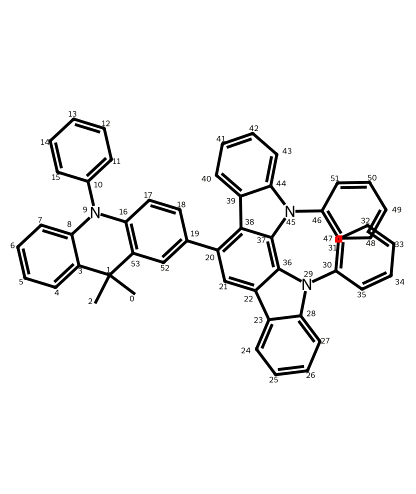 CC1(C)c2ccccc2N(c2ccccc2)c2ccc(-c3cc4c5ccccc5n(-c5ccccc5)c4c4c3c3ccccc3n4-c3ccccc3)cc21